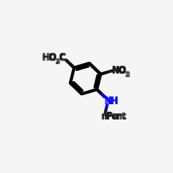 CCCCCNc1ccc(C(=O)O)cc1[N+](=O)[O-]